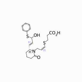 O=C(O)CCS/C=C\CN1C(=O)CCC[C@@H]1/C=C/C(O)Sc1ccccc1